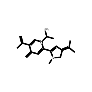 C=C(C)C1=CN(C(C)C(C)C)C(C2=CC(=C(C)C)CN2C)=CC1=C